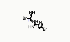 N=C/C(Br)=C\NC(=N)n1cc(Br)cn1